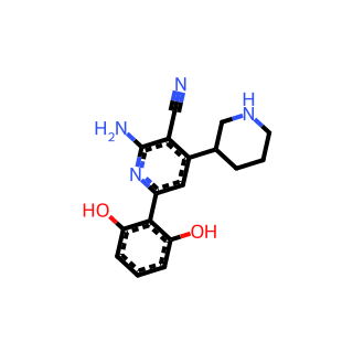 N#Cc1c(C2CCCNC2)cc(-c2c(O)cccc2O)nc1N